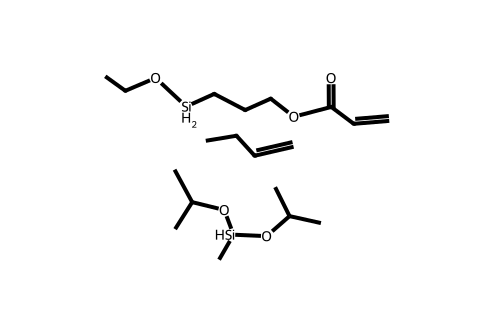 C=CC(=O)OCCC[SiH2]OCC.C=CCC.CC(C)O[SiH](C)OC(C)C